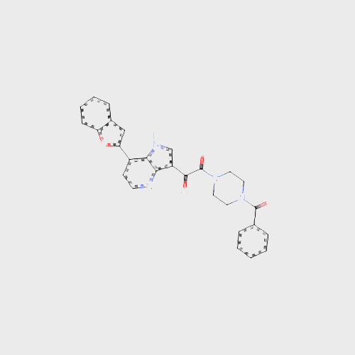 O=C(C(=O)N1CCN(C(=O)c2ccccc2)CC1)c1c[nH]c2c(-c3cc4ccccc4o3)ccnc12